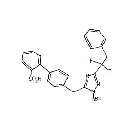 CCCCn1nc(C(F)(F)Cc2ccccc2)nc1Cc1ccc(-c2ccccc2C(=O)O)cc1